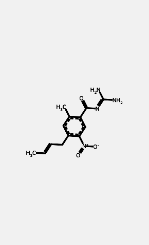 CC=CCc1cc(C)c(C(=O)N=C(N)N)cc1[N+](=O)[O-]